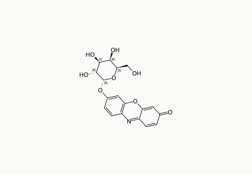 O=c1ccc2nc3ccc(O[C@H]4O[C@H](CO)[C@H](O)[C@H](O)[C@H]4O)cc3oc-2c1